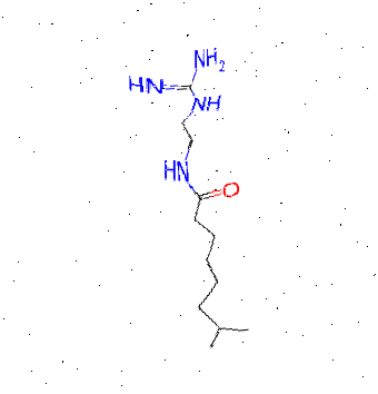 CC(C)CCCCCC(=O)NCCNC(=N)N